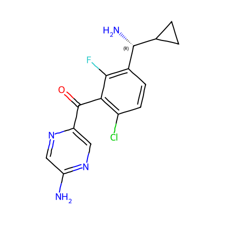 Nc1cnc(C(=O)c2c(Cl)ccc([C@H](N)C3CC3)c2F)cn1